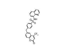 O=c1cc(C(F)(F)F)c2cc(Cc3ccc(S(=O)(=O)Nc4cccc5cccnc45)cc3)ccc2o1